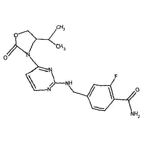 CC(C)C1COC(=O)N1c1ccnc(NCc2ccc(C(N)=O)c(F)c2)n1